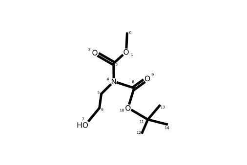 COC(=O)N(CCO)C(=O)OC(C)(C)C